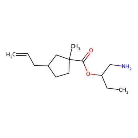 C=CCC1CCC(C)(C(=O)OC(CC)CN)C1